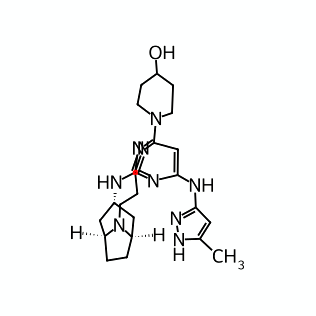 Cc1cc(Nc2cc(N3CCC(O)CC3)nc(N[C@@H]3C[C@H]4CC[C@@H](C3)N4CCC#N)n2)n[nH]1